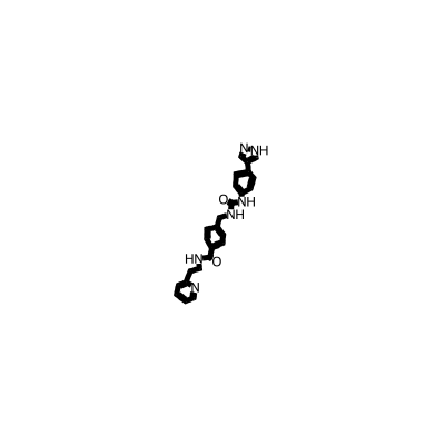 O=C(NCc1ccc(C(=O)NCCc2ccccn2)cc1)Nc1ccc(-c2cn[nH]c2)cc1